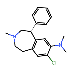 CN1CCc2cc(Cl)c(N(C)C)cc2[C@@H](c2ccccc2)C1